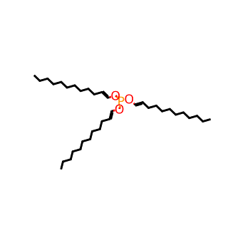 CCCCCCCCCCC=COP(OC=CCCCCCCCCCC)OC=CCCCCCCCCCC